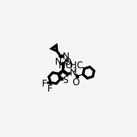 O=C(O)[C@@H]1CCCC[C@H]1C(=O)Nc1sc2c(c1-c1nc(C3CC3)no1)CCC(F)(F)C2